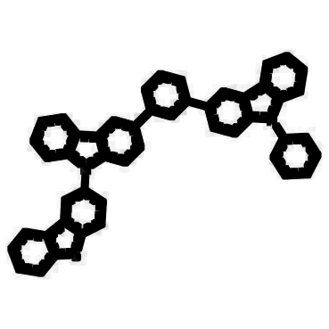 c1ccc(-n2c3ccccc3c3cc(-c4cccc(-c5ccc6c(c5)c5ccccc5n6-c5ccc6sc7ccccc7c6c5)c4)ccc32)cc1